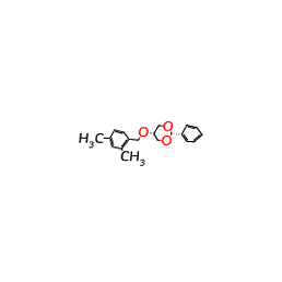 Cc1ccc(CO[C@H]2CO[C@@H](c3ccccc3)OC2)c(C)c1